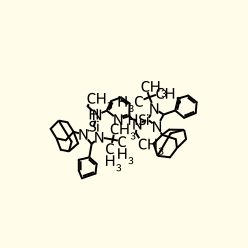 CCN(c1cccc(N(CC)[SiH]2N(C(C)(C)C)C(c3ccccc3)N2C23CC4CC(CC(C4)C2)C3)n1)[SiH]1N(C(C)(C)C)C(c2ccccc2)N1C12CC3CC(CC(C3)C1)C2